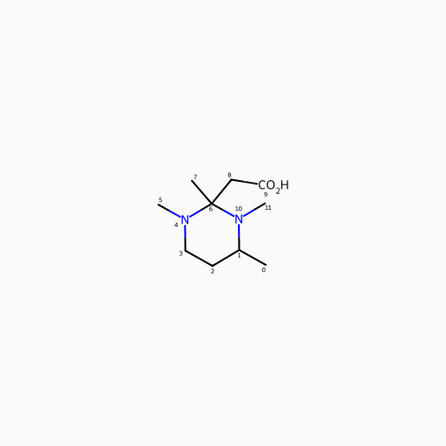 CC1CCN(C)C(C)(CC(=O)O)N1C